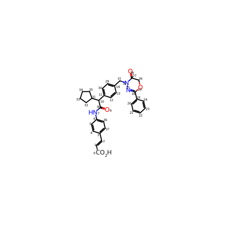 O=C(O)C=Cc1ccc(NC(=O)C(c2ccc(CN3N=C(c4ccccc4)OCC3=O)cc2)C2CCCC2)cc1